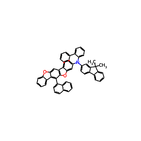 CC1(C)c2ccccc2-c2ccc(N(c3ccc4c(c3)oc3c(-c5cccc6ccccc56)c5c(cc34)oc3ccccc35)c3ccccc3-c3ccccc3)cc21